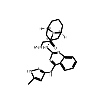 CNCC(=O)N1[C@@H]2CCC[C@H]1C[C@H](Nc1nc(Nc3cc(C)[nH]n3)c3ccccc3n1)C2